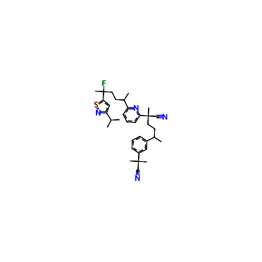 CC(C)c1cc(C(C)(F)CCC(C)c2cccc(C(C)(C#N)CCC(C)c3cccc(C(C)(C)C#N)c3)n2)sn1